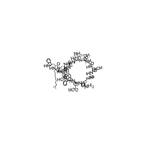 CC(C)CCCCCCCCC(=O)NC(Cc1c[nH]c2ccccc12)C(=O)NC(CC(N)=O)C(=O)NC(CC(=O)O)C(=O)NC1C(=O)NCC(=O)NC(CCCN)C(=O)NC(CC(=O)O)C(=O)NC(C)C(=O)NC(CC(=O)O)C(=O)NCC(=O)NC(CC(N)=O)C(=O)NC(CCC(=O)O)C(=O)NC(Cc2c[nH]c3ccccc23)C(=O)OC1C